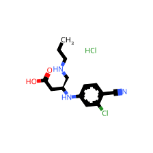 CCCNC[C@H](CC(=O)O)Nc1ccc(C#N)c(Cl)c1.Cl